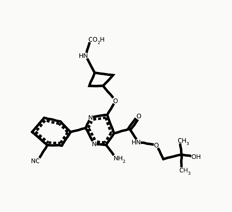 CC(C)(O)CONC(=O)c1c(N)nc(-c2cccc(C#N)c2)nc1OC1CC(NC(=O)O)C1